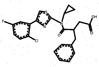 O=C(O)CC(Cc1ccccc1)C(=O)N(c1nc(-c2cc(F)ccc2Cl)cs1)C1CC1